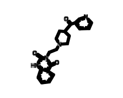 O=C(c1cccnc1)C1CCN(CCn2c(=O)[nH]c3ccccc3c2=O)CC1